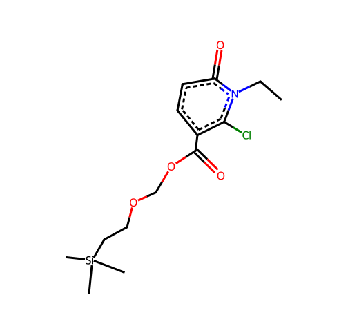 CCn1c(Cl)c(C(=O)OCOCC[Si](C)(C)C)ccc1=O